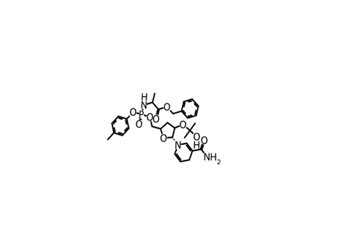 Cc1ccc(OP(=O)(NC(C)C(=O)OCc2ccccc2)OCC2CC(OC(C)(C)O)[C@H](N3C=CCC(C(N)=O)=C3)O2)cc1